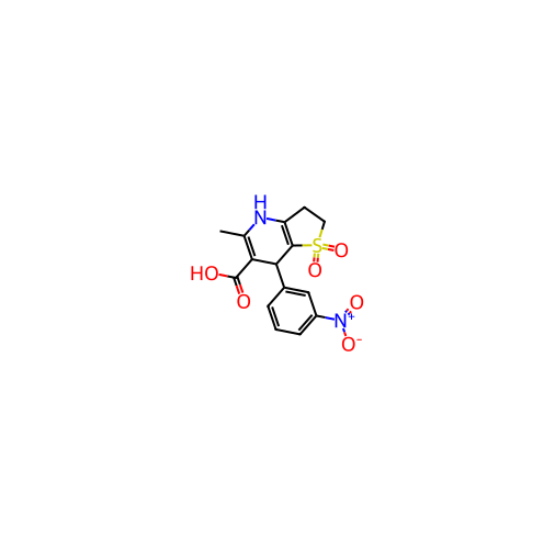 CC1=C(C(=O)O)C(c2cccc([N+](=O)[O-])c2)C2=C(CCS2(=O)=O)N1